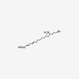 CCCCCC=CCC=CCCCCCCCC(N)CCCC(C)C